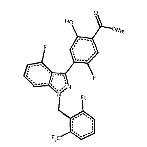 CCc1cccc(C(F)(F)F)c1Cn1nc(-c2cc(O)c(C(=O)OC)cc2F)c2c(F)cccc21